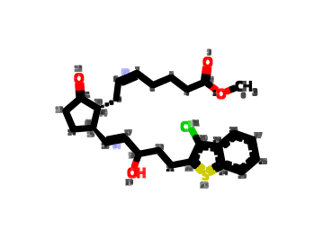 COC(=O)CCC/C=C\C[C@H]1C(=O)CC[C@@H]1/C=C/C(O)CCc1sc2ccccc2c1Cl